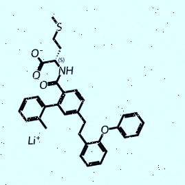 CSCC[C@H](NC(=O)c1ccc(CCc2ccccc2Oc2ccccc2)cc1-c1ccccc1C)C(=O)[O-].[Li+]